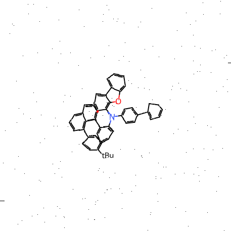 CC(C)(C)c1ccc(-c2cccc3cccc(-c4ccccc4N(c4ccc(C5=CC=CCC5)cc4)c4cccc5c4oc4ccccc45)c23)cc1